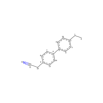 CCc1ccc(-c2ccc(CC#N)cc2)cc1